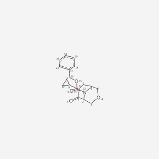 O=C1C2COCC(CN1C1CC1)N2C(=O)OCc1ccccc1